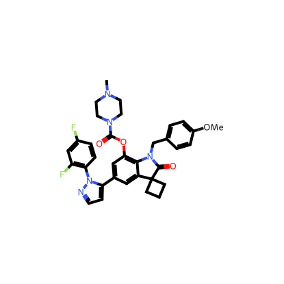 COc1ccc(CN2C(=O)C3(CCC3)c3cc(-c4ccnn4-c4ccc(F)cc4F)cc(OC(=O)N4CCN(C)CC4)c32)cc1